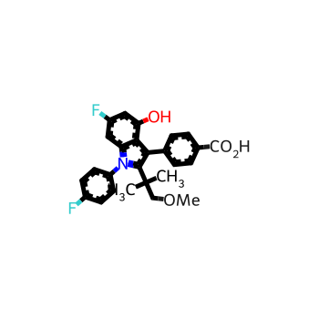 COCC(C)(C)c1c(-c2ccc(C(=O)O)cc2)c2c(O)cc(F)cc2n1-c1ccc(F)cc1